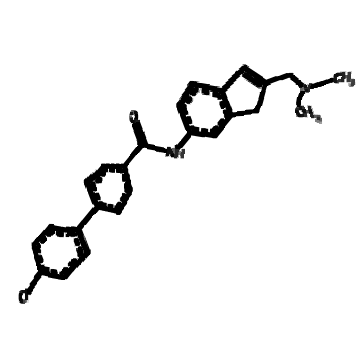 CN(C)CC1=Cc2ccc(NC(=O)c3ccc(-c4ccc(Cl)cc4)cc3)cc2C1